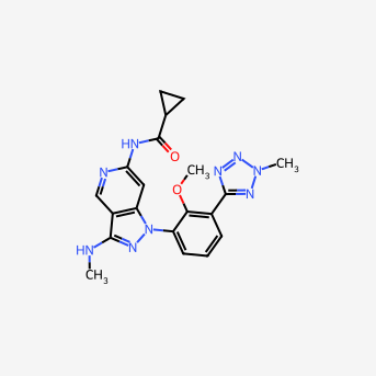 CNc1nn(-c2cccc(-c3nnn(C)n3)c2OC)c2cc(NC(=O)C3CC3)ncc12